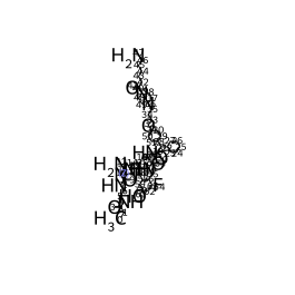 CCC(=O)NCCNC(=O)/N=C(/N)NCCC[C@@H](NC(=O)C(c1ccccc1)c1ccc(OCCCN2CCN(C(=O)CCCCCN)CC2)cc1)C(=O)NCc1c(F)cc(O)cc1F